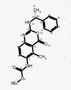 Cc1c(NC(=O)OC(C)(C)C)ccc2nc(N[C@H](C)c3ccccc3)oc(=O)c12